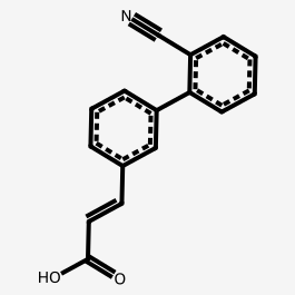 N#Cc1ccccc1-c1cccc(C=CC(=O)O)c1